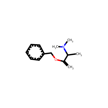 C=C(OCc1ccccc1)C(C)N(C)C